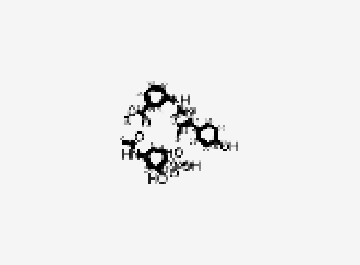 CC(=O)Nc1ccc([As](=O)(O)O)c(O)c1.COC(=O)c1cccc(Nc2nc(-c3ccc(O)cc3)c(C)s2)c1